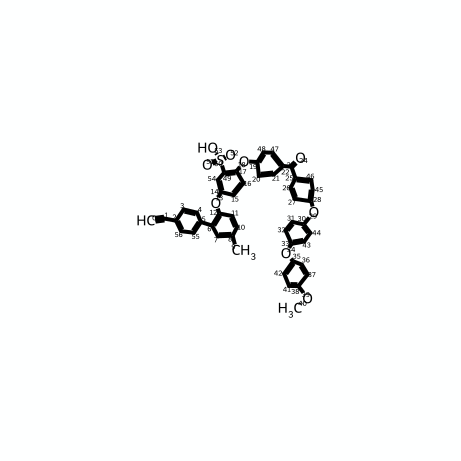 C#Cc1ccc(-c2cc(C)ccc2Oc2ccc(Oc3ccc(C(=O)c4ccc(Oc5ccc(Oc6ccc(OC)cc6)cc5)cc4)cc3)c(S(=O)(=O)O)c2)cc1